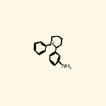 Nc1cccc(C2CCCCN2c2ccccc2)c1